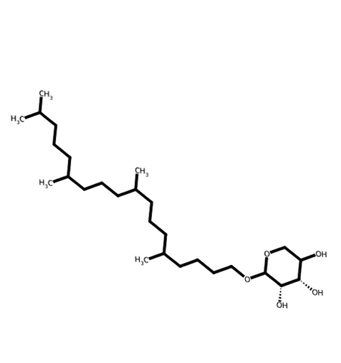 CC(C)CCCC(C)CCCC(C)CCCC(C)CCCCOC1OCC(O)[C@H](O)[C@@H]1O